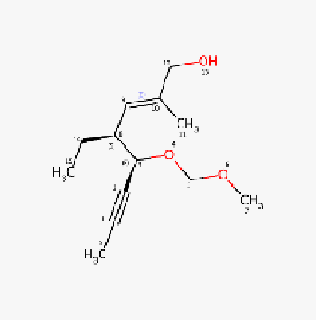 CC#C[C@H](OCOC)[C@H](/C=C(\C)CO)CC